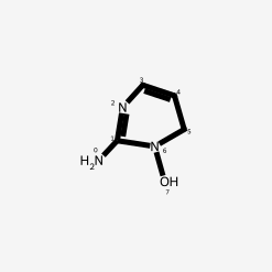 NC1=NC=CCN1O